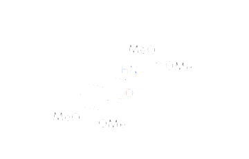 COc1ccc(CC(=O)NCC(OC)OC)c(F)c1OC